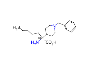 BCCCC[C@@](N)(C(=O)O)C1CCN(Cc2ccccc2)CC1